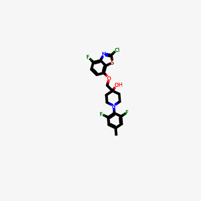 Cc1cc(F)c(N2CCC(O)(COc3ccc(F)c4nc(Cl)sc34)CC2)c(F)c1